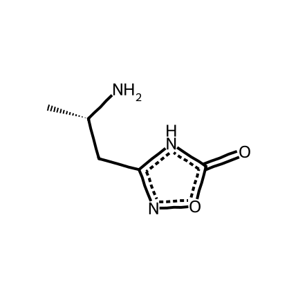 C[C@H](N)Cc1noc(=O)[nH]1